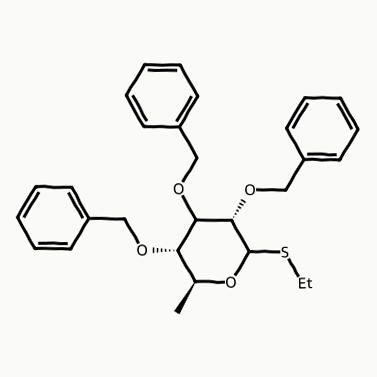 CCSC1O[C@@H](C)[C@H](OCc2ccccc2)C(OCc2ccccc2)[C@@H]1OCc1ccccc1